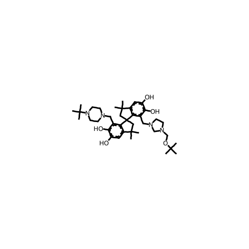 CC(C)(C)OCN1CCN(Cc2c(O)c(O)cc3c2C2(CC(C)(C)c4cc(O)c(O)c(CN5CCN(C(C)(C)C)CC5)c42)CC3(C)C)C1